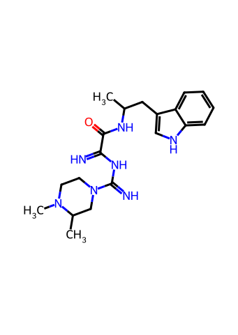 CC(Cc1c[nH]c2ccccc12)NC(=O)C(=N)NC(=N)N1CCN(C)C(C)C1